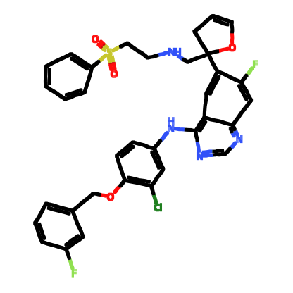 O=S(=O)(CCNCC1(c2cc3c(Nc4ccc(OCc5cccc(F)c5)c(Cl)c4)ncnc3cc2F)CC=CO1)c1ccccc1